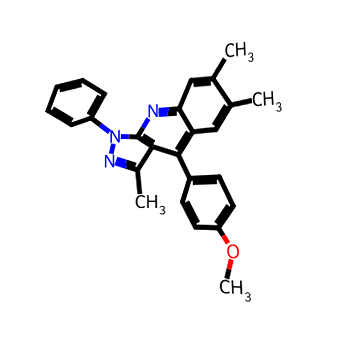 COc1ccc(-c2c3cc(C)c(C)cc3nc3c2c(C)nn3-c2ccccc2)cc1